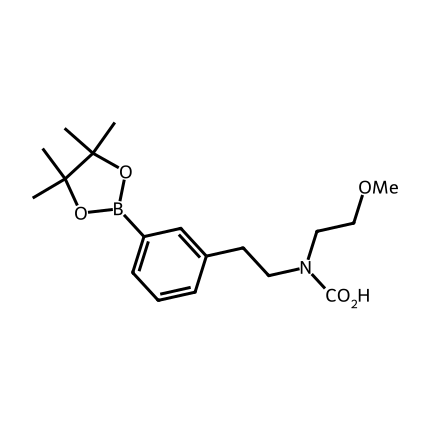 COCCN(CCc1cccc(B2OC(C)(C)C(C)(C)O2)c1)C(=O)O